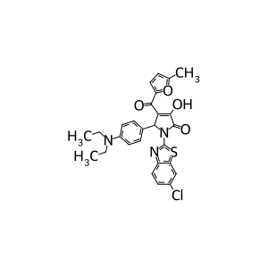 CCN(CC)c1ccc(C2C(C(=O)c3ccc(C)o3)=C(O)C(=O)N2c2nc3ccc(Cl)cc3s2)cc1